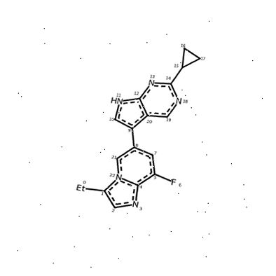 CCc1cnc2c(F)cc(-c3c[nH]c4nc(C5CC5)ncc34)cn12